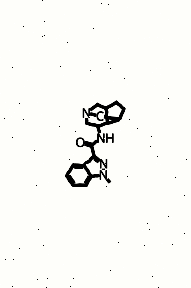 Cn1nc(C(=O)NC2CN3CC4CCC(C3)C42)c2ccccc21